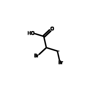 O=C(O)C(Br)[CH]Br